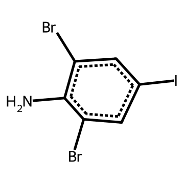 Nc1c(Br)cc(I)cc1Br